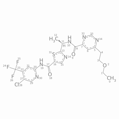 CCOCCc1cc(C(=O)N[C@H](C)c2ncc(C(=O)Nc3cc(C(F)(F)F)c(Cl)cn3)s2)ncn1